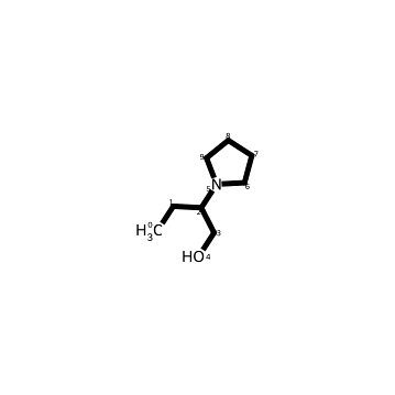 CCC(CO)N1CCCC1